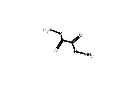 N[N]C(=O)C(=O)[N]N